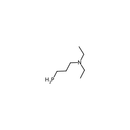 CCN(CC)CCCP